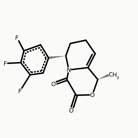 C[C@@H]1OC(=O)C(=O)N2C1=CCC[C@H]2c1cc(F)c(F)c(F)c1